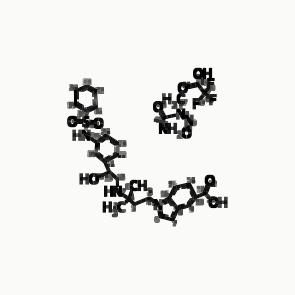 CC(C)(CCn1ccc2cc(C(=O)O)ccc21)NCC(O)c1cccc(NS(=O)(=O)c2ccccc2)c1.CN(N=O)C(N)=O.O=C(O)C(F)(F)F